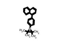 CC1(C)N(c2ccc(-c3cccc4ccccc34)cc2)C1(C)C